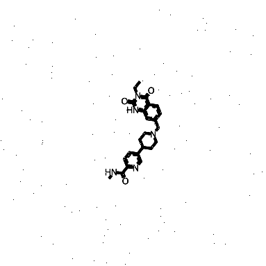 CCn1c(=O)[nH]c2cc(CN3CCC(c4ccc(C(=O)NC)nc4)CC3)ccc2c1=O